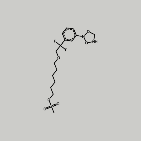 CS(=O)(=O)OCCCCCCOCC(F)(F)c1cccc(N2OCNO2)c1